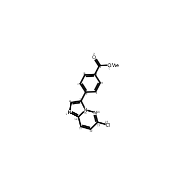 COC(=O)c1ccc(-c2cnc3ccc(Cl)nn23)cc1